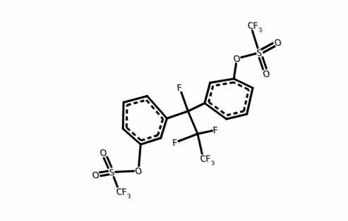 O=S(=O)(Oc1cccc(C(F)(c2cccc(OS(=O)(=O)C(F)(F)F)c2)C(F)(F)C(F)(F)F)c1)C(F)(F)F